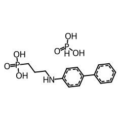 O=P(O)(O)CCCNc1ccc(-c2ccccc2)cc1.O=[PH](O)O